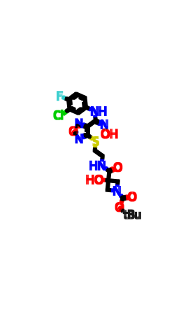 CC(C)(C)OC(=O)N1CC(O)(C(=O)NCCSc2nonc2/C(=N\O)Nc2ccc(F)c(Cl)c2)C1